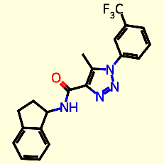 Cc1c(C(=O)NC2CCc3ccccc32)nnn1-c1cccc(C(F)(F)F)c1